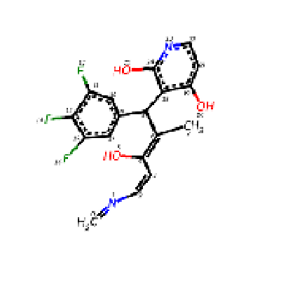 C=N/C=C\C(O)=C(/C)C(c1cc(F)c(F)c(F)c1)c1c(O)ccnc1O